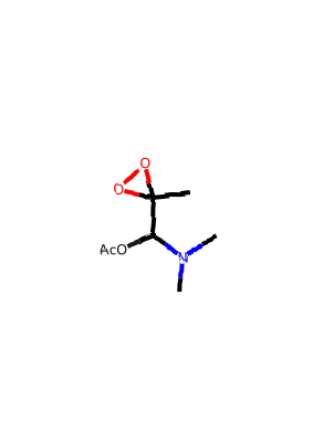 CC(=O)OC(N(C)C)C1(C)OO1